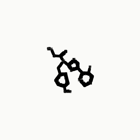 COc1ccc(CN(C(=O)OC(C)(C)C)c2ncc(-c3ncncc3F)s2)cc1